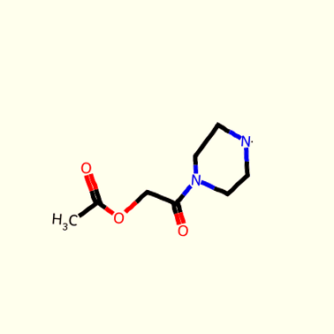 CC(=O)OCC(=O)N1CC[N]CC1